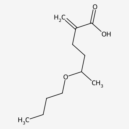 C=C(CCC(C)OCCCC)C(=O)O